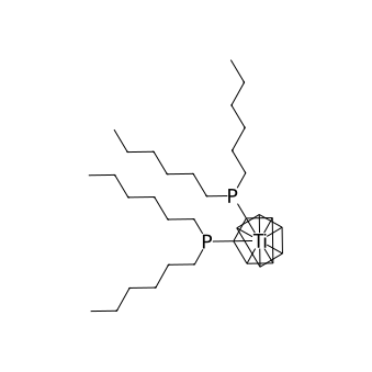 CCCCCCP(CCCCCC)[C]12[CH]3[CH]4[CH]5[C]1(P(CCCCCC)CCCCCC)[Ti]43521678[CH]2[CH]1[CH]6[CH]7[CH]28